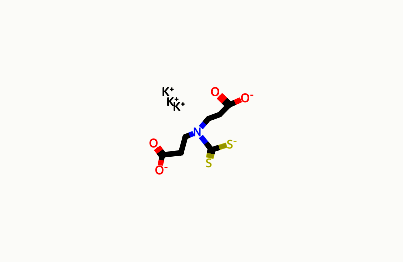 O=C([O-])CCN(CCC(=O)[O-])C(=S)[S-].[K+].[K+].[K+]